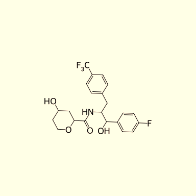 O=C(NC(Cc1ccc(C(F)(F)F)cc1)C(O)c1ccc(F)cc1)C1CC(O)CCO1